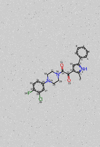 Cc1[nH]c(-c2ccccc2)cc1C(=O)C(=O)N1CCN(c2ccc(F)c(Cl)c2)CC1